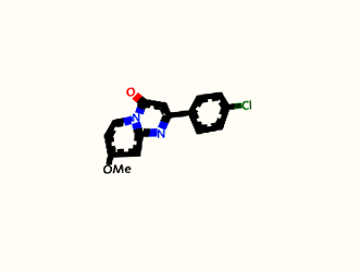 COc1ccn2c(=O)cc(-c3ccc(Cl)cc3)nc2c1